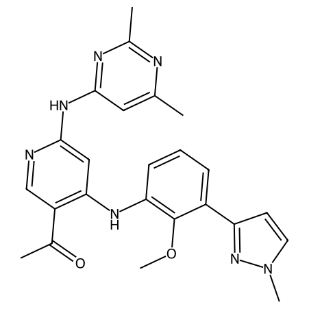 COc1c(Nc2cc(Nc3cc(C)nc(C)n3)ncc2C(C)=O)cccc1-c1ccn(C)n1